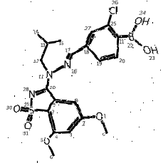 COc1cc(OC)c2c(c1)C(N(CC(C)C)/N=C/c1ccc(B(O)O)c(Cl)c1)=NS2(=O)=O